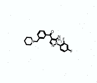 Nc1c(C(=O)c2cccc(CN3CCCCC3)c2)cnn1-c1ccc(F)cc1F